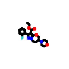 CCOC(=O)c1c(-c2ccccc2F)nn2c1OCC(N1CCOCC1)CC2